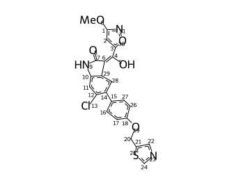 COc1cc(C(O)=C2C(=O)Nc3cc(Cl)c(-c4ccc(OCc5cncs5)cc4)cc32)on1